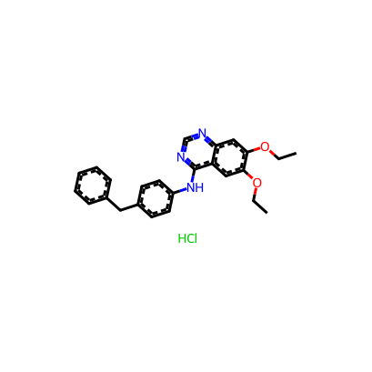 CCOc1cc2ncnc(Nc3ccc(Cc4ccccc4)cc3)c2cc1OCC.Cl